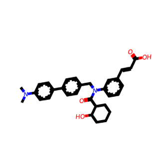 CN(C)c1ccc(-c2ccc(CN(C(=O)C3CCCCC3O)c3cccc(C=CC(=O)O)c3)cc2)cc1